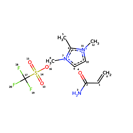 C=CC(N)=O.Cc1n(C)cc[n+]1C.O=S(=O)([O-])C(F)(F)F